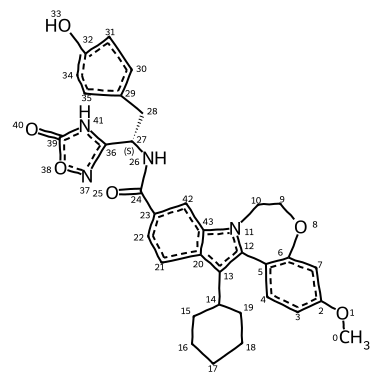 COc1ccc2c(c1)OCCn1c-2c(C2CCCCC2)c2ccc(C(=O)N[C@@H](Cc3ccc(O)cc3)c3noc(=O)[nH]3)cc21